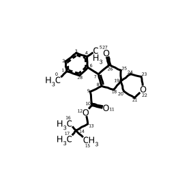 Cc1ccc(C)c(C2=C(CC(=O)OCC(C)(C)C)CC3(CCOCC3)CC2=O)c1